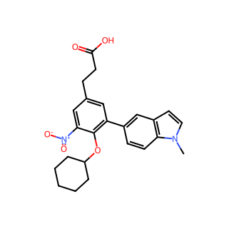 Cn1ccc2cc(-c3cc(CCC(=O)O)cc([N+](=O)[O-])c3OC3CCCCC3)ccc21